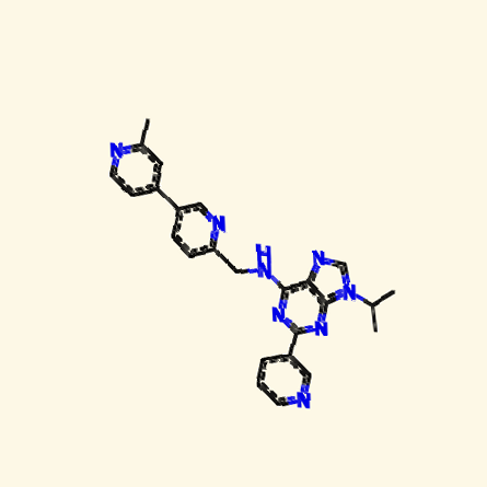 Cc1cc(-c2ccc(CNc3nc(-c4cccnc4)nc4c3ncn4C(C)C)nc2)ccn1